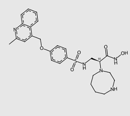 Cc1cc(COc2ccc(S(=O)(=O)NC[C@@H](C(=O)NO)N3CCCCNCC3)cc2)c2ccccc2n1